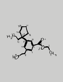 CCOC(=O)c1cc(CO)cc(C2(CN)CCCC2)c1